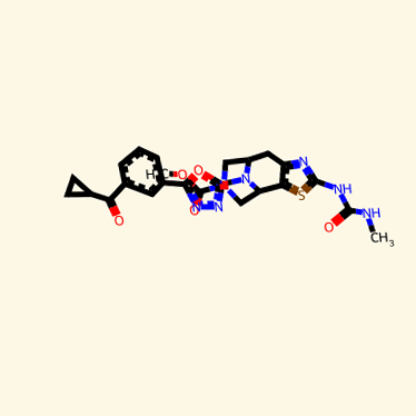 CNC(=O)Nc1nc2c(s1)C1CN(C(=O)OC)CC(C2)N1c1nnc(-c2cccc(C(=O)C3CC3)c2)o1